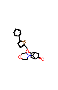 O=C1CC2C(OCc3ccc(-c4ccccc4)s3)CC1C2N1CCOCC1